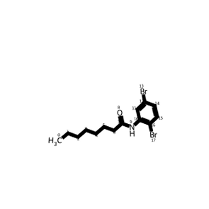 CCCCCCCC(=O)Nc1cc(Br)ccc1Br